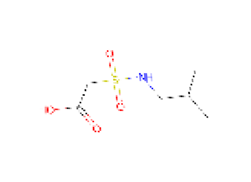 CC(C)CNS(=O)(=O)CC(=O)O